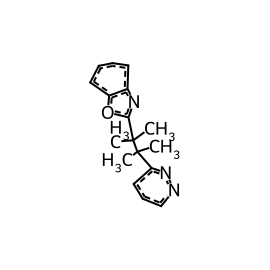 CC(C)(c1cccnn1)C(C)(C)c1nc2ccccc2o1